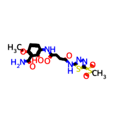 COc1ccc(NC(=O)CCC(=O)Nc2nnc(S(C)(=O)=O)s2)c(O)c1C(N)=O